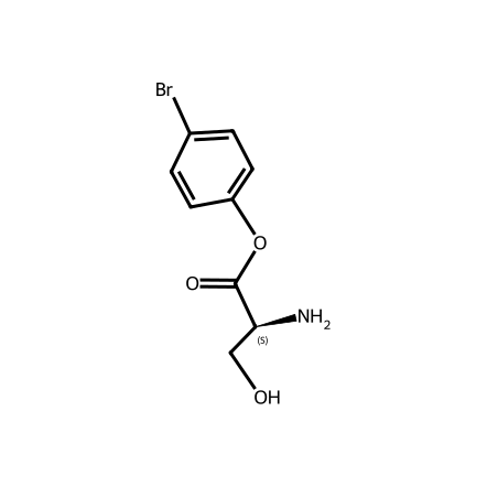 N[C@@H](CO)C(=O)Oc1ccc(Br)cc1